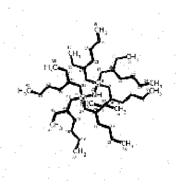 CCCCC(CC)C[Si](CC(CC)CCCC)(CC(CC)CCCC)N[Si](CC(CC)CCCC)(CC(CC)CCCC)CC(CC)CCCC